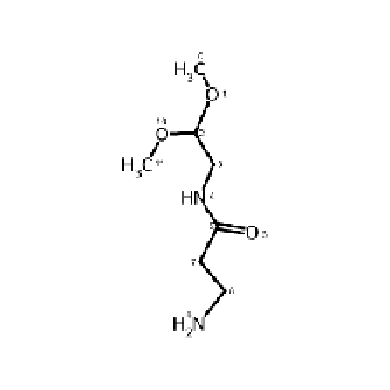 COC(CNC(=O)CCN)OC